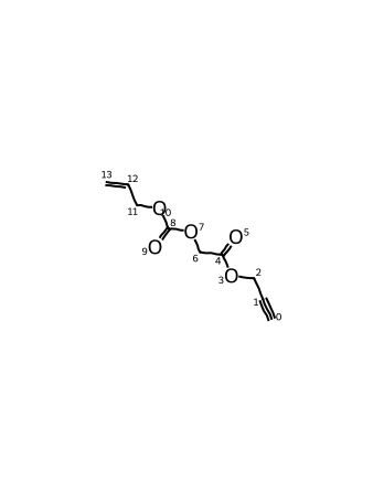 C#CCOC(=O)COC(=O)OCC=C